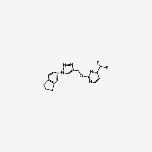 FC(F)c1ccnc(OCc2cn(-c3ccc4c(c3)CCC4)nn2)n1